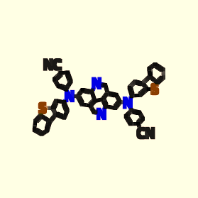 N#Cc1ccc(N(c2cc3cnc4cc(N(c5ccc(C#N)cc5)c5ccc6c(c5)sc5ccccc56)cc5cnc(c2)c3c54)c2ccc3c(c2)sc2ccccc23)cc1